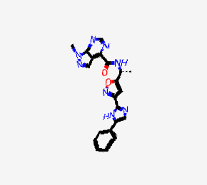 C[C@@H](NC(=O)c1ncnc2c1cnn2C)c1cc(-c2ncc(-c3ccccc3)[nH]2)no1